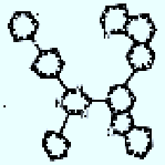 c1ccc(-c2ccc(-c3nc(-c4ccccc4)nc(-c4cc(-c5ccc6ccc7cccnc7c6c5)cc5c4oc4ccccc45)n3)cc2)cc1